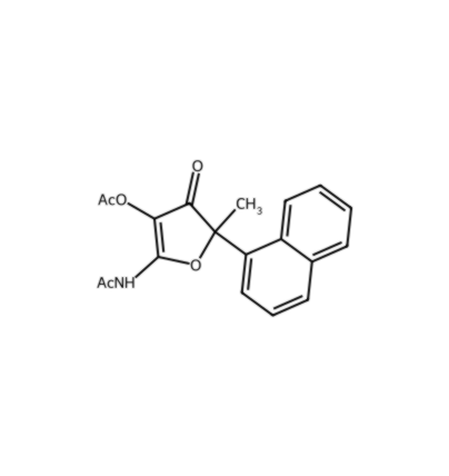 CC(=O)NC1=C(OC(C)=O)C(=O)C(C)(c2cccc3ccccc23)O1